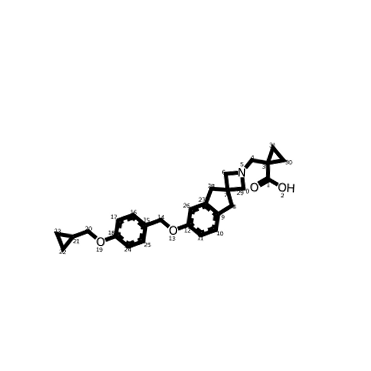 O=C(O)C1(CN2CC3(Cc4ccc(OCc5ccc(OCC6CC6)cc5)cc4C3)C2)CC1